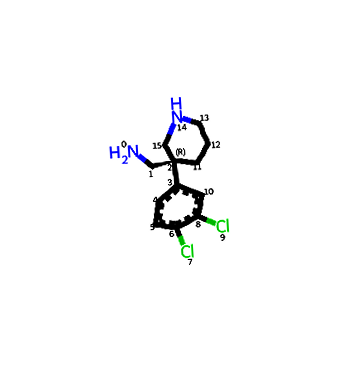 NC[C@]1(c2ccc(Cl)c(Cl)c2)CCCNC1